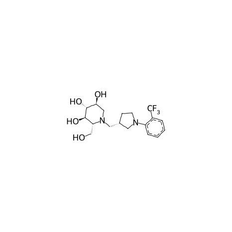 OC[C@@H]1[C@@H](O)[C@H](O)[C@@H](O)CN1C[C@@H]1CCN(c2ccccc2C(F)(F)F)C1